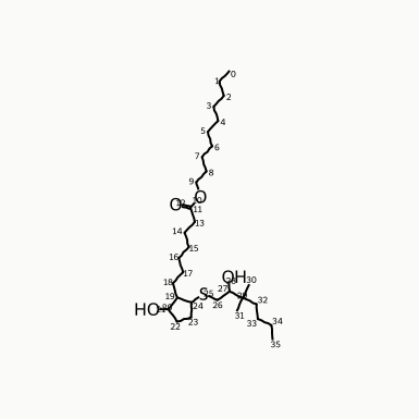 CCCCCCCCCCOC(=O)CCCCCCC1C(O)CCC1SCC(O)C(C)(C)CCCC